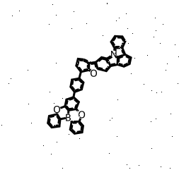 c1ccc2c(c1)Oc1cc(-c3ccc(-c4cccc5c4oc4cc6c7cccc8c9ccccc9n(c6cc45)c87)cc3)cc3c1B2c1ccccc1O3